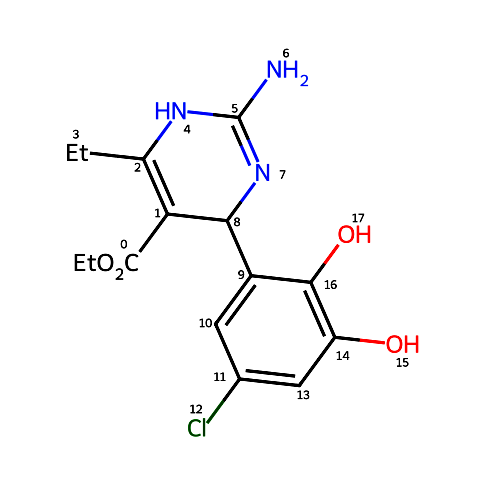 CCOC(=O)C1=C(CC)NC(N)=NC1c1cc(Cl)cc(O)c1O